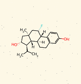 CC(C)[C@@H]1[C@H]2[C@@H]3CCc4cc(O)ccc4[C@H]3[C@@H](F)C[C@]2(C)C[C@H]1O